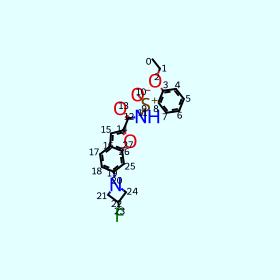 CCOc1ccccc1[S+]([O-])NC(=O)c1cc2ccc(N3CC(F)C3)cc2o1